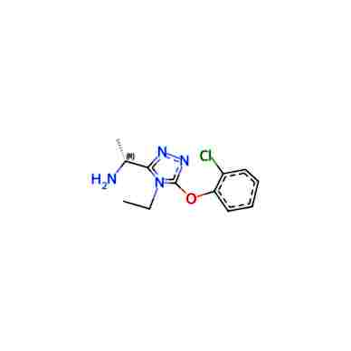 CCn1c(Oc2ccccc2Cl)nnc1[C@@H](C)N